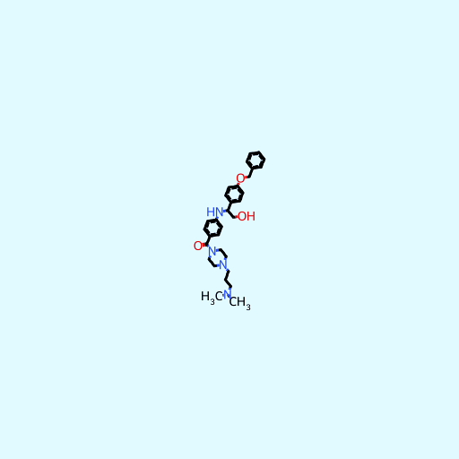 CN(C)CCCN1CCN(C(=O)c2ccc(NC(CO)c3ccc(OCc4ccccc4)cc3)cc2)CC1